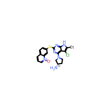 CCc1[nH]c2nc(Sc3ccc4ccc[n+]([O-])c4c3)nc(N3CC[C@H](N)C3)c2c1Cl